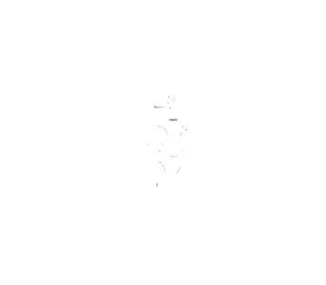 Cc1ncc([C@@H](C)c2cc(OC(F)(F)F)ccc2F)cc1C(N)=O